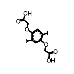 O=C(O)COc1cc(I)c(OCC(=O)O)cc1I